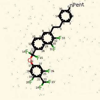 CCCCCc1ccc(CCc2cc3ccc(C(F)(F)Oc4cc(F)c(C(F)F)c(F)c4)cc3c(F)c2F)cc1